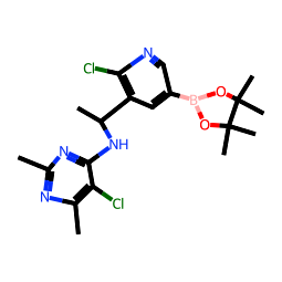 Cc1nc(C)c(Cl)c(NC(C)c2cc(B3OC(C)(C)C(C)(C)O3)cnc2Cl)n1